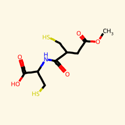 COC(=O)CC(CS)C(=O)NC(CS)C(=O)O